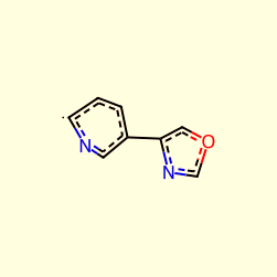 [c]1ccc(-c2cocn2)cn1